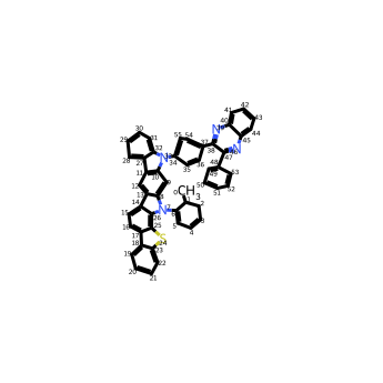 CC1CC=CC=C1n1c2cc3c(cc2c2ccc4c5ccccc5sc4c21)c1ccccc1n3-c1ccc(-c2nc3ccccc3nc2-c2ccccc2)cc1